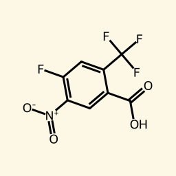 O=C(O)c1cc([N+](=O)[O-])c(F)cc1C(F)(F)F